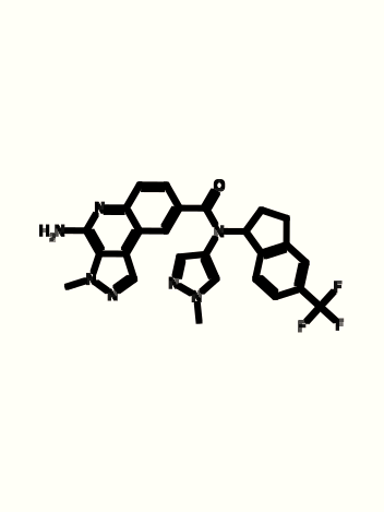 Cn1cc(N(C(=O)c2ccc3nc(N)c4c(cnn4C)c3c2)C2CCc3cc(C(F)(F)F)ccc32)cn1